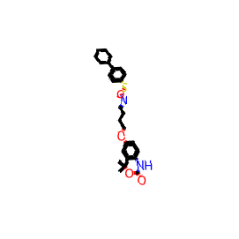 CC1(C)OC(=O)Nc2ccc(OCCCC=NOSc3ccc(C4CCCCC4)cc3)cc21